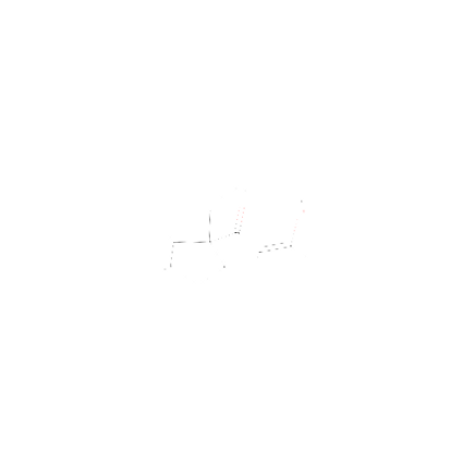 CCC1(C(=O)/C=C(/C)O)CCCC1